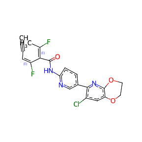 C#C/C=C(F)\C(C(=O)Nc1ccc(-c2nc3c(cc2Cl)OCCO3)cn1)=C(/C)F